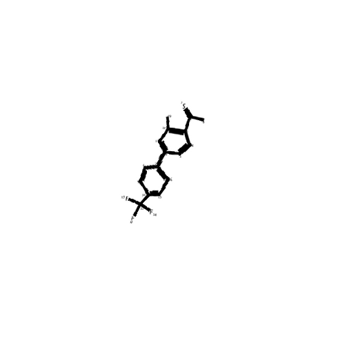 CC(=S)c1ccc(-c2ccc(C(F)(F)F)cc2)cc1C